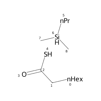 CCCCCCCC(=O)S.CCC[SiH](C)C